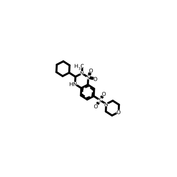 CN1C(C2CCCCC2)Nc2ccc(S(=O)(=O)N3CCOCC3)cc2S1(=O)=O